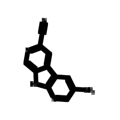 N#Cc1cc2c(cn1)[nH]c1ncc(N)cc12